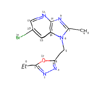 CCc1nnc(Cn2c(C)nc3ncc(Br)cc32)o1